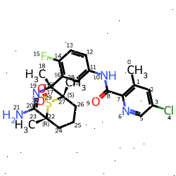 Cc1cc(Cl)cnc1C(=O)Nc1ccc(F)c([C@@]2(C)N=C(N)[C@@]3(C)CCC[C@]2(C)S3(=O)=O)c1